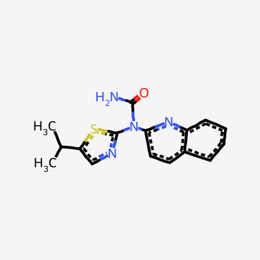 CC(C)c1cnc(N(C(N)=O)c2ccc3ccccc3n2)s1